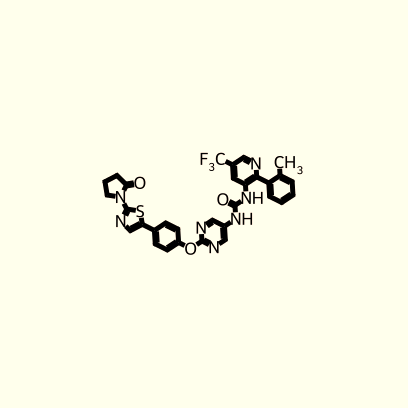 Cc1ccccc1-c1ncc(C(F)(F)F)cc1NC(=O)Nc1cnc(Oc2ccc(-c3cnc(N4CCCC4=O)s3)cc2)nc1